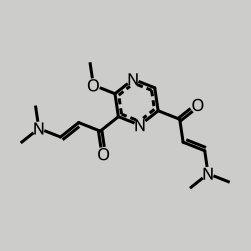 COc1ncc(C(=O)/C=C/N(C)C)nc1C(=O)/C=C/N(C)C